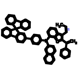 C=C(c1ccccc1)c1oc2c(N(c3ccc(-c4ccc5c(c4)C4(c6ccccc6-c6ccccc64)c4ccccc4-5)cc3)c3ccc4ccccc4c3)cccc2c1/C=C\C